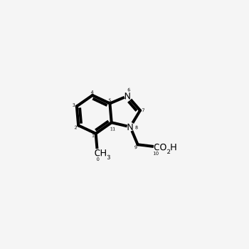 Cc1cccc2ncn(CC(=O)O)c12